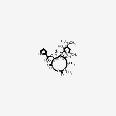 C[C@H]1CN(C)C(=O)CCNC(=O)[C@H](C)[C@@H](OC(=O)c2ccc[nH]2)[C@H](C)[C@@H](O[C@@H]2O[C@H](C)C[C@H](N(C)C)[C@H]2O)[C@](C)(O)C1